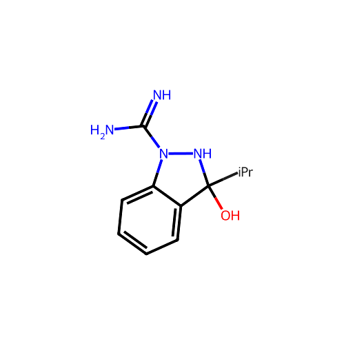 CC(C)C1(O)NN(C(=N)N)c2ccccc21